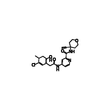 C#CC1(NC(=O)c2cc(NC(=O)CC3=C(O)CC(C)C(Cl)=C3)ccn2)CCOCC1